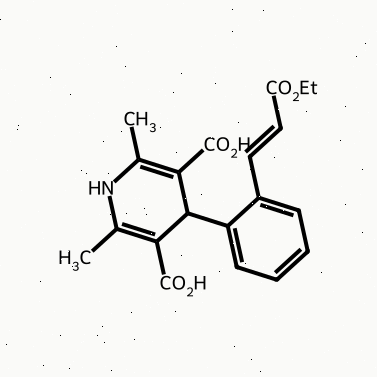 CCOC(=O)C=Cc1ccccc1C1C(C(=O)O)=C(C)NC(C)=C1C(=O)O